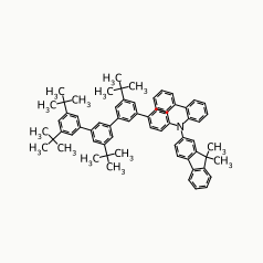 CC(C)(C)c1cc(-c2ccc(N(c3ccc4c(c3)C(C)(C)c3ccccc3-4)c3ccccc3-c3ccccc3)cc2)cc(-c2cc(-c3cc(C(C)(C)C)cc(C(C)(C)C)c3)cc(C(C)(C)C)c2)c1